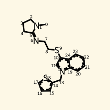 CN1CCCC1=NCCSc1cn(Cc2cccs2)c2ccccc12